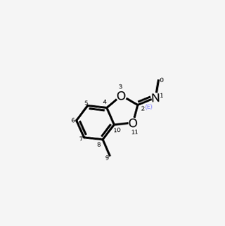 C/N=c1\oc2cccc(C)c2o1